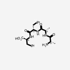 CC(C)C[C@H](NC(=O)[C@H](CC(C)C)NC(=O)[C@H](C)NC(=O)[C@H](C)N)C(=O)O